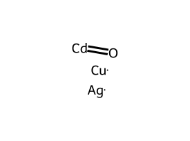 [Ag].[Cu].[O]=[Cd]